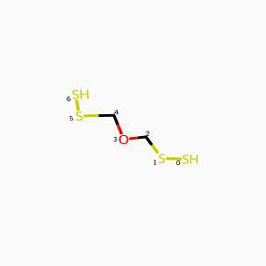 SSCOCSS